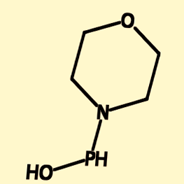 OPN1CCOCC1